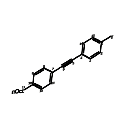 [CH2]c1ccc(C#Cc2ccc(CCCCCCCC)cc2)cc1